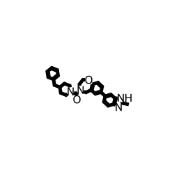 Cc1nc2ccc(-c3ccc4c(c3)CN(C(=O)N3CCC(Cc5ccccc5)CC3)CCO4)cc2[nH]1